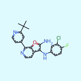 CC(C)(C)c1cc(-c2nccc3c(Nc4ccc(F)c(Cl)c4)c(N)oc23)ccn1